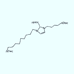 CCCCCCCCCCCCCCCCCCCN1C=CN(CCCCCCCCCCCCCC)C1CCCCCC